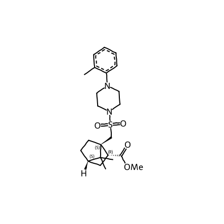 COC(=O)[C@@H]1C[C@@H]2CC[C@@]1(CS(=O)(=O)N1CCN(c3ccccc3C)CC1)C2(C)C